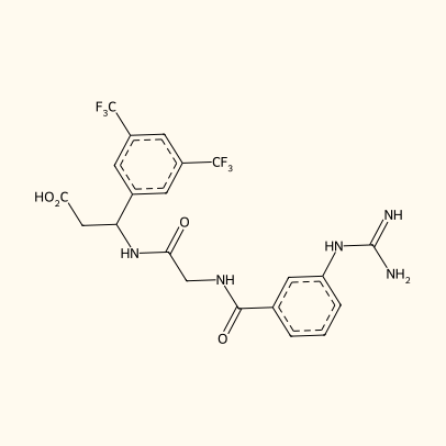 N=C(N)Nc1cccc(C(=O)NCC(=O)NC(CC(=O)O)c2cc(C(F)(F)F)cc(C(F)(F)F)c2)c1